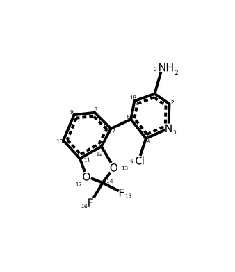 Nc1cnc(Cl)c(-c2cccc3c2OC(F)(F)O3)c1